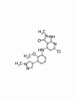 COc1c(Nc2cc(Cl)nc3[nH]n(C)c(=O)c23)cccc1-c1cnn(C)c1